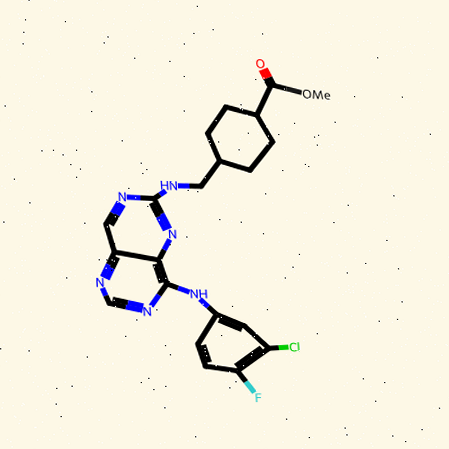 COC(=O)C1CCC(CNc2ncc3ncnc(Nc4ccc(F)c(Cl)c4)c3n2)CC1